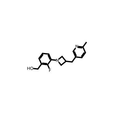 Cc1ccc(CC2CN(c3cccc(CO)c3F)C2)cn1